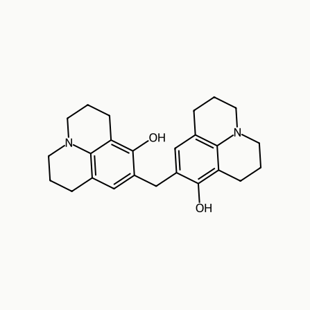 Oc1c(Cc2cc3c4c(c2O)CCCN4CCC3)cc2c3c1CCCN3CCC2